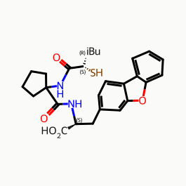 CC[C@@H](C)[C@H](S)C(=O)NC1(C(=O)N[C@@H](Cc2ccc3c(c2)oc2ccccc23)C(=O)O)CCCC1